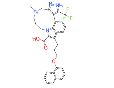 CN1CCCn2c(C(=O)O)c(CCCOc3cccc4ccccc34)c3cccc(c32)-c2c(n[nH]c2C(F)(F)F)C1